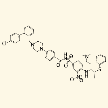 CC(Sc1ccccc1)[C@@H](CCN(C)C)Nc1ccc(S(=O)(=O)NC(=O)c2ccc(N3CCN(Cc4ccccc4-c4ccc(Cl)cc4)CC3)cc2)cc1[N+](=O)[O-]